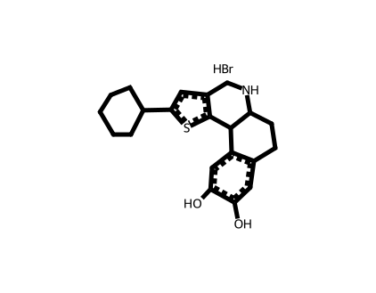 Br.Oc1cc2c(cc1O)C1c3sc(C4CCCCC4)cc3CNC1CC2